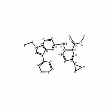 CCn1cc(-c2ccccc2)c2cc(Nc3ncc(C4CC4)cc3C(=O)OC)ccc21